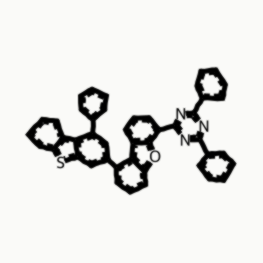 c1ccc(-c2nc(-c3ccccc3)nc(-c3cccc4c3oc3cccc(-c5cc(-c6ccccc6)c6c(c5)sc5ccccc56)c34)n2)cc1